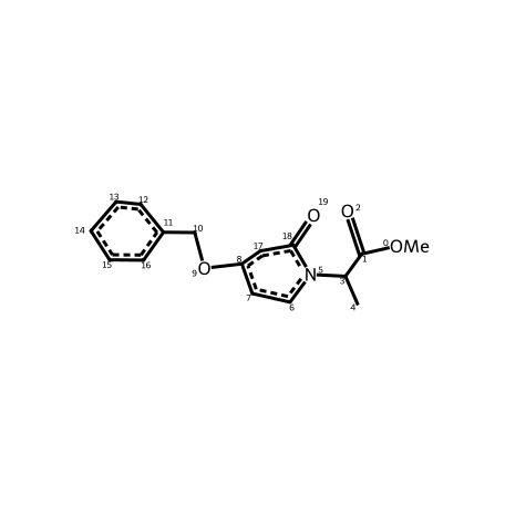 COC(=O)C(C)n1ccc(OCc2ccccc2)cc1=O